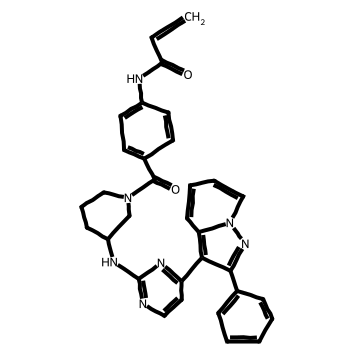 C=CC(=O)Nc1ccc(C(=O)N2CCCC(Nc3nccc(-c4c(-c5ccccc5)nn5ccccc45)n3)C2)cc1